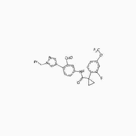 CC(C)Cn1cc(-c2ccc(NC(=O)C3(c4ccc(OC(F)(F)F)cc4F)CC3)cc2C=O)cn1